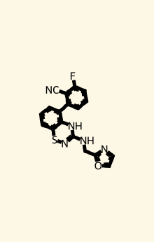 N#Cc1c(F)cccc1-c1cccc2c1NC(NCc1ncco1)=NS2